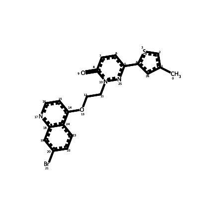 Cc1csc(-c2ccc(=O)n(CCOc3ccnc4cc(Br)ccc34)n2)c1